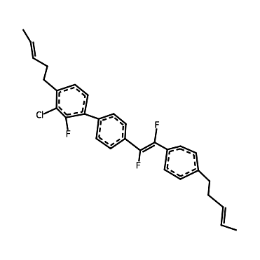 C/C=C/CCc1ccc(/C(F)=C(\F)c2ccc(-c3ccc(CC/C=C/C)c(Cl)c3F)cc2)cc1